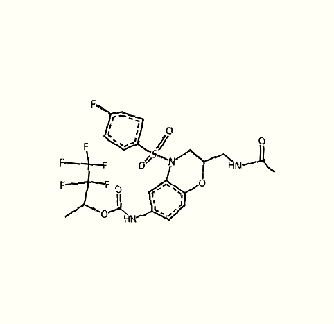 CC(=O)NCC1CN(S(=O)(=O)c2ccc(F)cc2)c2cc(NC(=O)OC(C)C(F)(F)C(F)(F)F)ccc2O1